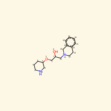 OC(COC1CCCNC1)CN1CCc2ccccc2C1